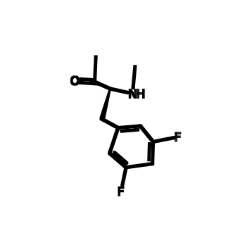 CN[C@@H](Cc1cc(F)cc(F)c1)C(C)=O